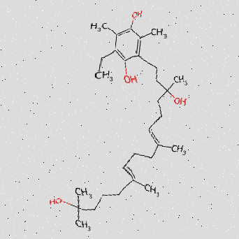 CCc1c(C)c(O)c(C)c(CCC(C)(O)CC/C=C(\C)CC/C=C(\C)CCCC(C)(C)O)c1O